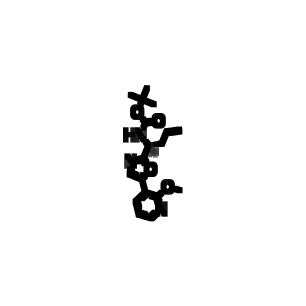 C=CC[C@H](NC(=O)OC(C)(C)C)c1ncc(-c2cccnc2OC)o1